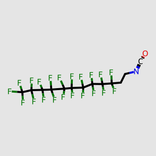 O=C=NCCC(F)(F)C(F)(F)C(F)(F)C(F)(F)C(F)(F)C(F)(F)C(F)(F)C(F)(F)C(F)(F)C(F)(F)F